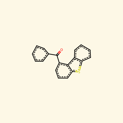 O=C(c1ccccc1)c1cccc2sc3ccccc3c12